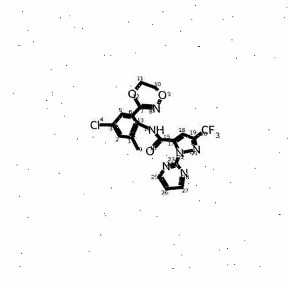 Cc1cc(Cl)cc(C2=NOCCO2)c1NC(=O)c1cc(C(F)(F)F)nn1-c1ncccn1